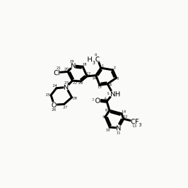 Cc1ccc(NC(=O)c2ccnc(C(F)(F)F)c2)cc1-c1cnc(Cl)c(N2CCOCC2)c1